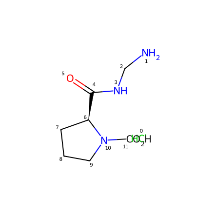 Cl.NCNC(=O)[C@@H]1CCCN1C(=O)O